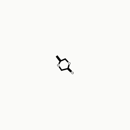 C=C1COC(=O)CO1